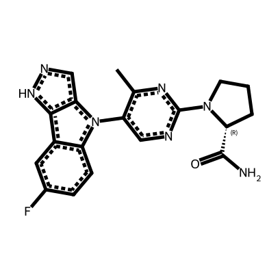 Cc1nc(N2CCC[C@@H]2C(N)=O)ncc1-n1c2ccc(F)cc2c2[nH]ncc21